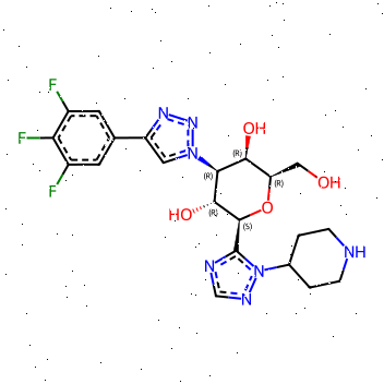 OC[C@H]1O[C@@H](c2ncnn2C2CCNCC2)[C@H](O)[C@@H](n2cc(-c3cc(F)c(F)c(F)c3)nn2)[C@H]1O